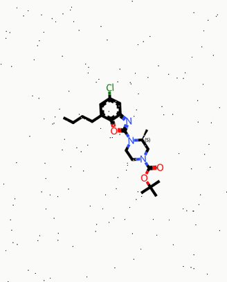 CCCCc1cc(Cl)cc2nc(N3CCN(C(=O)OC(C)(C)C)C[C@@H]3C)oc12